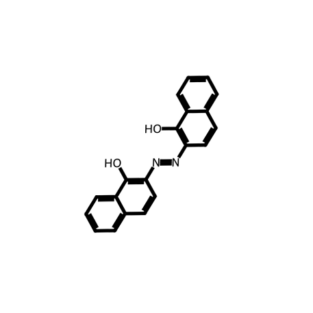 Oc1c(N=Nc2ccc3ccccc3c2O)ccc2ccccc12